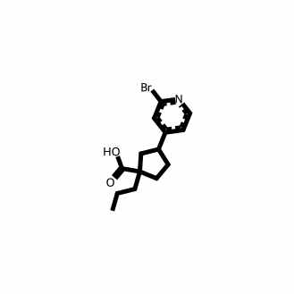 CCCC1(C(=O)O)CCC(c2ccnc(Br)c2)C1